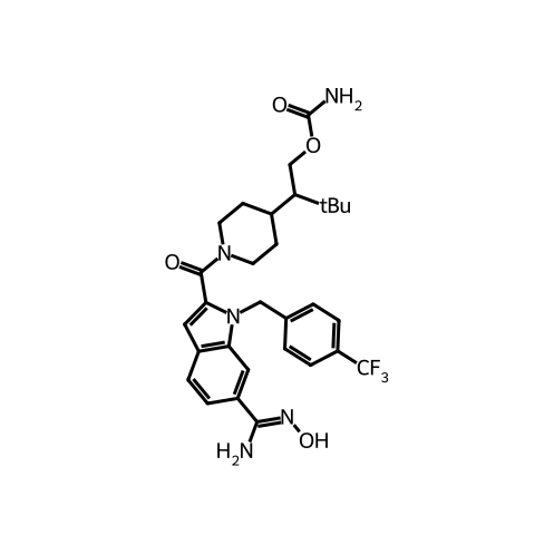 CC(C)(C)C(COC(N)=O)C1CCN(C(=O)c2cc3ccc(C(N)=NO)cc3n2Cc2ccc(C(F)(F)F)cc2)CC1